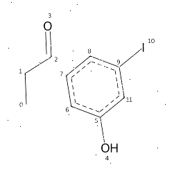 CCC=O.Oc1cccc(I)c1